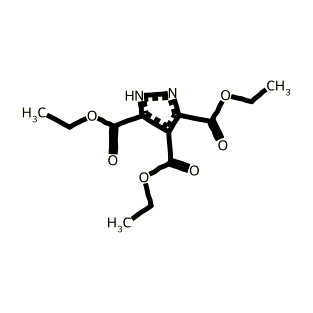 CCOC(=O)c1n[nH]c(C(=O)OCC)c1C(=O)OCC